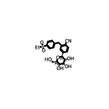 CCS(=O)(=O)c1ccc(Cc2cc([C@@H]3O[C@H](CO)[C@@H](O)[C@H](O)[C@H]3O)ccc2C#N)cc1